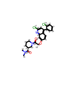 C[C@@H](Oc1ccc2c(-c3ccccc3Cl)cc(Cl)nc2c1)C(=O)N1CCC[C@H](C(=O)N(C)C)C1